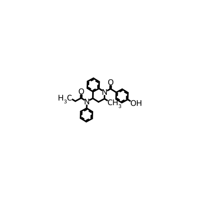 CCC(=O)N(c1ccccc1)C1CC(C)N(C(=O)c2ccc(O)cc2)c2ccccc21